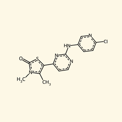 Cc1c(-c2ccnc(Nc3ccc(Cl)nc3)n2)sc(=O)n1C